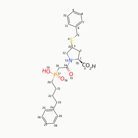 O=C(O)[C@@H]1C[C@H](SCc2ccccc2)CN1C(=O)CP(=O)(O)CCCCc1ccccc1